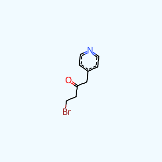 O=C(CCBr)Cc1ccncc1